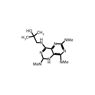 CNc1nc(NC)c2c(n1)C(NCC(C)(C)O)=NC(NC)N2